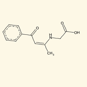 CC(=CC(=O)c1ccccc1)NCC(=O)O